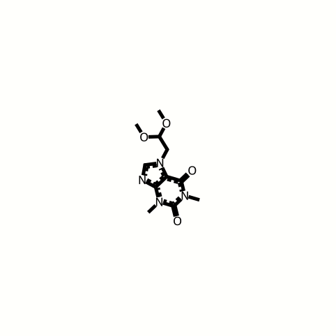 COC(Cn1cnc2c1c(=O)n(C)c(=O)n2C)OC